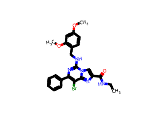 CCNC(=O)c1cn2c(NCc3ccc(OC)cc3OC)nc(-c3ccccc3)c(Br)c2n1